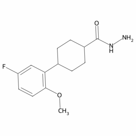 COc1ccc(F)cc1C1CCC(C(=O)NN)CC1